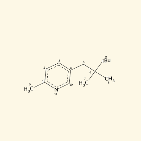 Cc1ccc(CC(C)(C)C(C)(C)C)cn1